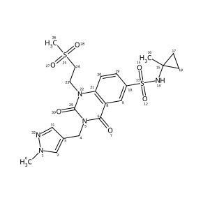 Cn1cc(Cn2c(=O)c3cc(S(=O)(=O)NC4(C)CC4)ccc3n(CCS(C)(=O)=O)c2=O)cn1